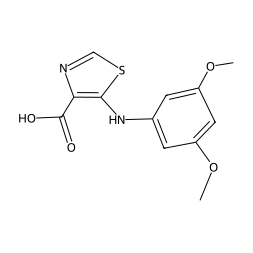 COc1cc(Nc2scnc2C(=O)O)cc(OC)c1